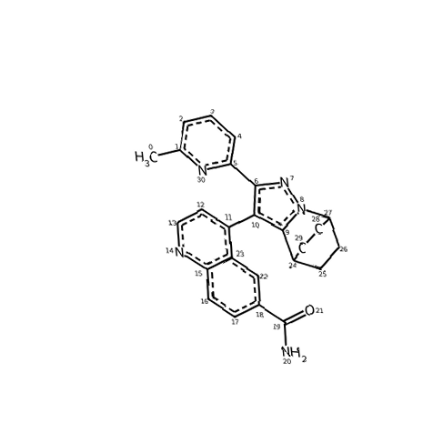 Cc1cccc(-c2nn3c(c2-c2ccnc4ccc(C(N)=O)cc24)C2CCC3CC2)n1